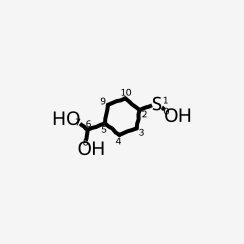 OSC1CCC(C(O)O)CC1